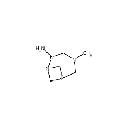 CN1CN(N)N2CP(C1)C2